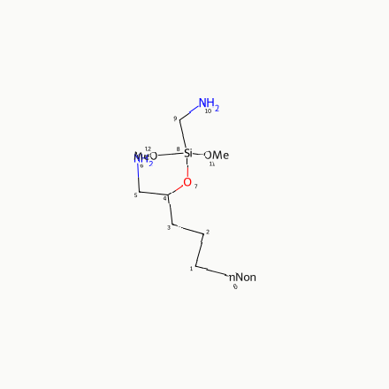 CCCCCCCCCCCCC(CN)O[Si](CN)(OC)OC